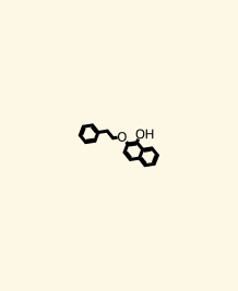 Oc1c(OCCc2ccccc2)ccc2ccccc12